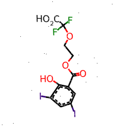 O=C(OCCOC(F)(F)C(=O)O)c1cc(I)cc(I)c1O